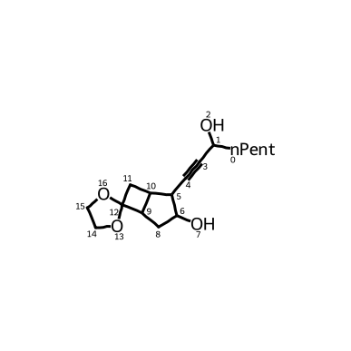 CCCCCC(O)C#CC1C(O)CC2C1CC21OCCO1